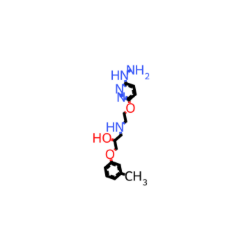 Cc1cccc(OCC(O)CNCCOc2ccc(NN)nn2)c1